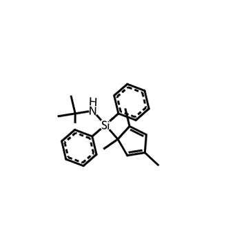 CC1=CC(C)([Si](NC(C)(C)C)(c2ccccc2)c2ccccc2)C(C)=C1